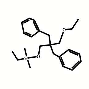 CCOCC(CO[Si](C)(C)CC)(Cc1ccccc1)Cc1ccccc1